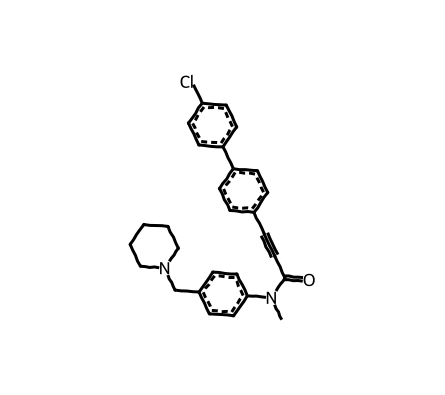 CN(C(=O)C#Cc1ccc(-c2ccc(Cl)cc2)cc1)c1ccc(CN2CCCCC2)cc1